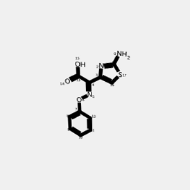 Nc1nc(C(=NOc2ccccc2)C(=O)O)cs1